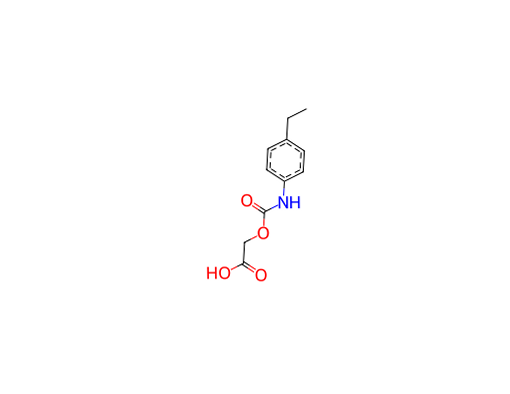 CCc1ccc(NC(=O)OCC(=O)O)cc1